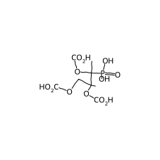 CC(COC(=O)O)(OC(=O)O)C(C)(OC(=O)O)P(=O)(O)O